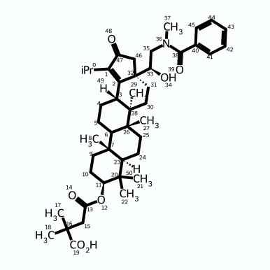 CC(C)C1=C2[C@H]3CCC4[C@@]5(C)CC[C@H](OC(=O)CC(C)(C)C(=O)O)C(C)(C)[C@@H]5CC[C@@]4(C)[C@]3(C)CC[C@@]2([C@H](O)CN(C)C(=O)c2ccccc2)CC1=O